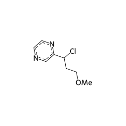 COCCC(Cl)c1cnccn1